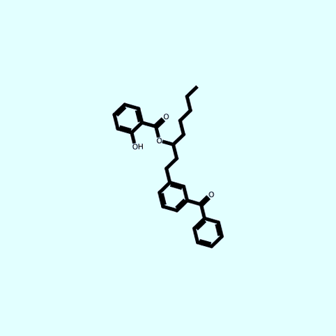 CCCCCC(CCc1cccc(C(=O)c2ccccc2)c1)OC(=O)c1ccccc1O